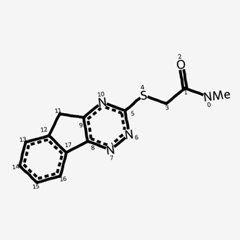 CNC(=O)CSc1nnc2c(n1)Cc1ccccc1-2